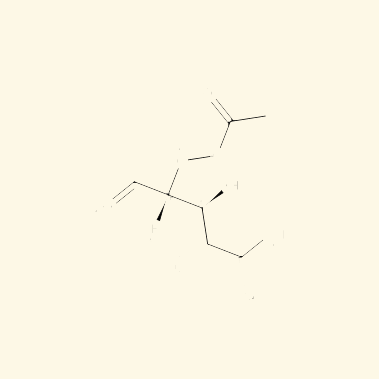 CC(=O)OO[C@@](F)(C=O)[C@@H](O)[C@@H](O)[C@@H](C)O